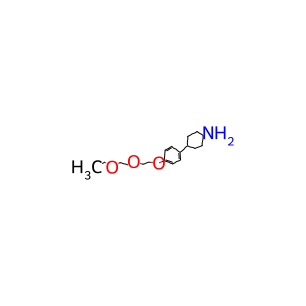 CCOCCOCCOc1ccc(C2CCC(N)CC2)cc1